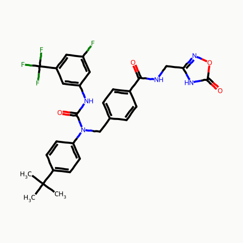 CC(C)(C)c1ccc(N(Cc2ccc(C(=O)NCc3noc(=O)[nH]3)cc2)C(=O)Nc2cc(F)cc(C(F)(F)F)c2)cc1